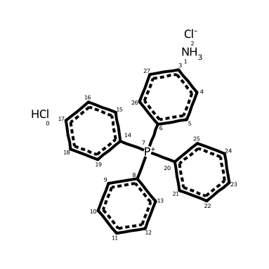 Cl.N.[Cl-].c1ccc([P+](c2ccccc2)(c2ccccc2)c2ccccc2)cc1